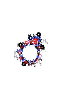 CC(C)C[C@H]1C(=O)N[C@@H](Cc2ccccc2)C(=O)N(C)[C@@H](C(C)C)C(=O)N[C@@H]([C@@H](C)O)C(=O)N[C@H](C(=O)N(C)[C@@H](Cc2ccccc2)C(=O)N(C)[C@@H](Cc2ccccc2)C(=O)N[C@@H](C)C(=O)N2CCCCC2)CC(=O)N(C)CCC(=O)N[C@@H](C(C)C)C(=O)N(C)[C@@H](CC(C)C)C(=O)N(C)[C@@H](Cc2ccccc2)C(=O)NCC(=O)N1C